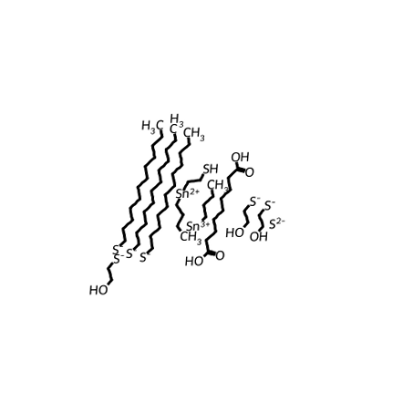 CCCCCCCCCCCC[S-].CCCCCCCCCCCC[S-].CCCCCCCCCCCC[S-].CCC[CH2][Sn+2][CH2]CS.CCC[CH2][Sn+3].O=C(O)CCCCCCCC(=O)O.OCC[S-].OCC[S-].OCC[S-].[S-2]